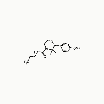 COc1ccc(C2OCCN(C(=O)NCCC(F)(F)F)C2(C)C)cc1